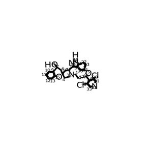 CCN1CCC2(CC(O)c3ccccc3O2)CC1c1n[nH]c2ccc(O[C@H](C)c3c(Cl)cncc3Cl)cc12